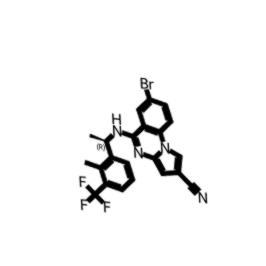 Cc1c([C@@H](C)Nc2nc3cc(C#N)cn3c3ccc(Br)cc23)cccc1C(F)(F)F